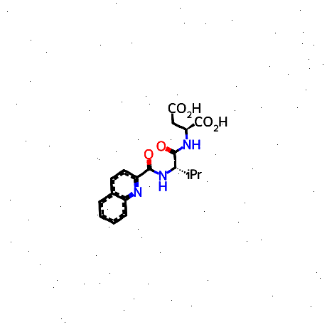 CC(C)[C@H](NC(=O)c1ccc2ccccc2n1)C(=O)N[C@@H](CC(=O)O)C(=O)O